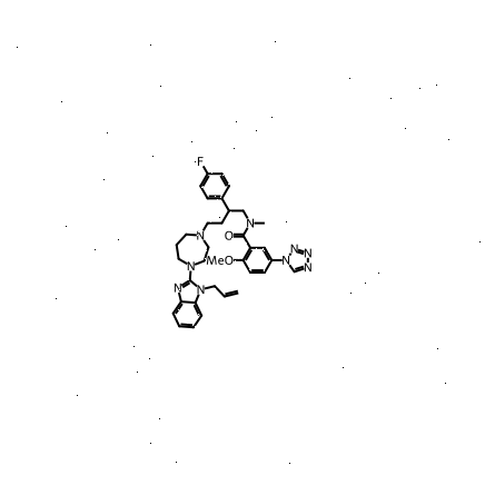 C=CCn1c(N2CCCN(CCC(CN(C)C(=O)c3cc(-n4cnnn4)ccc3OC)c3ccc(F)cc3)CC2)nc2ccccc21